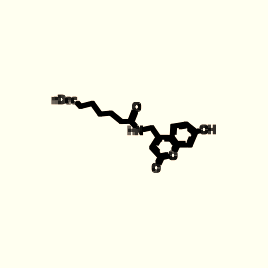 CCCCCCCCCCCCCCCC(=O)NCc1cc(=O)oc2cc(O)ccc12